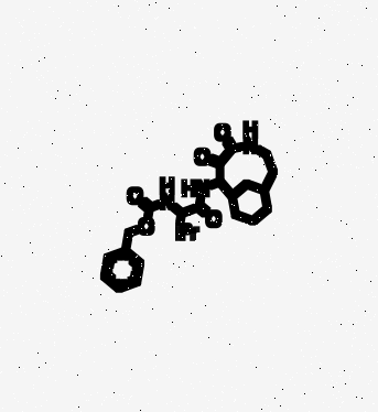 CC(C)C(NC(=O)OCc1ccccc1)C(=O)NC1C(=O)C(=O)NCCC2CCCC1C2